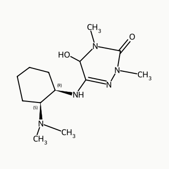 CN1N=C(N[C@@H]2CCCC[C@@H]2N(C)C)C(O)N(C)C1=O